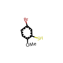 COc1ccc(Br)cc1S